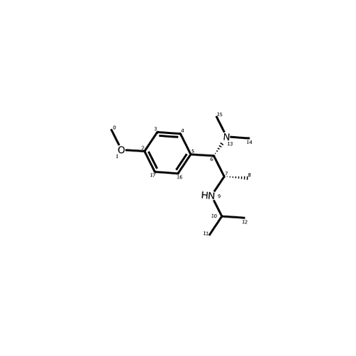 COc1ccc([C@@H]([C@H](C)NC(C)C)N(C)C)cc1